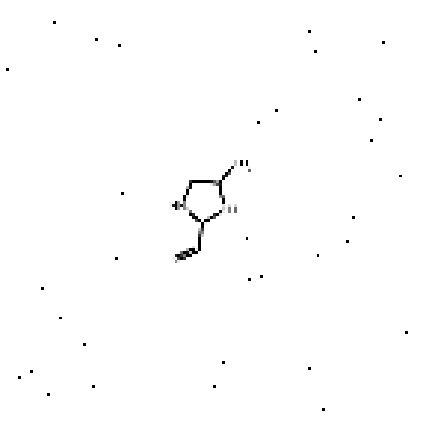 CC1CNC(C=S)N1